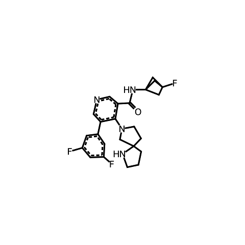 O=C(NC12CC(F)(C1)C2)c1cncc(-c2cc(F)cc(F)c2)c1N1CCC2(CCCN2)C1